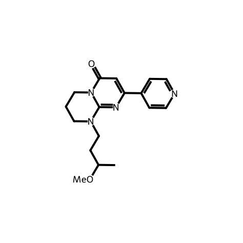 COC(C)CCN1CCCn2c1nc(-c1ccncc1)cc2=O